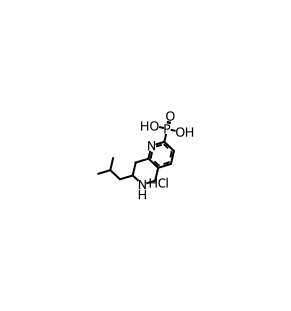 CC(C)CC1Cc2nc(P(=O)(O)O)ccc2CN1.Cl